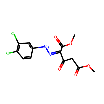 COC(=O)CC(=O)C(=NNc1ccc(Cl)c(Cl)c1)C(=O)OC